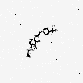 FC(F)(F)C1CCN(CCOc2ccc3c(nnn3CC3CC3)c2Br)CC1